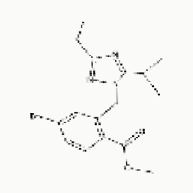 COC(=O)c1ccc(Br)cc1Cn1nc(SC)nc1C(C)C